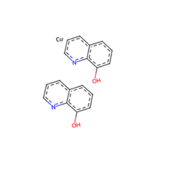 Oc1cccc2cccnc12.Oc1cccc2cccnc12.[Cu]